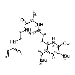 C=CC(=O)NCCNC(=O)C(CC)NC(=O)CCC(NC(=O)OC(C)(C)C)C(=O)OC(C)(C)C